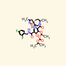 CC1=NO[C@@]2(CC[C@H](C)N3C[C@H]2n2cc(C(=O)NCc4ccc(F)cc4F)c(=O)c(O[C@@H](C)OC(=O)OC(C)C)c2C3=O)C1